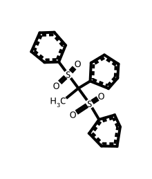 CC(c1ccccc1)(S(=O)(=O)c1ccccc1)S(=O)(=O)c1ccccc1